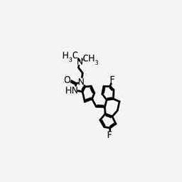 CN(C)CCn1c(=O)[nH]c2cc(C=C3c4ccc(F)cc4CCc4cc(F)ccc43)ccc21